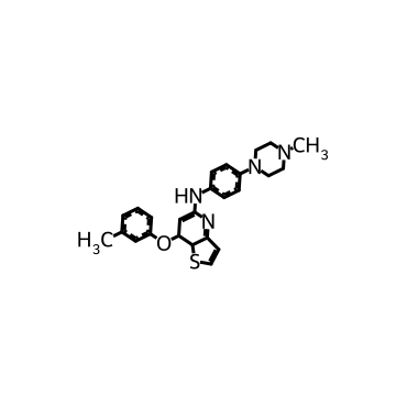 Cc1cccc(OC2C=C(Nc3ccc(N4CCN(C)CC4)cc3)N=C3C=CSC32)c1